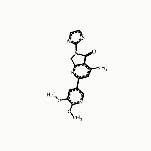 COc1cc(-c2cc(C)c3c(n2)CN(c2nccs2)C3=O)cnc1OC